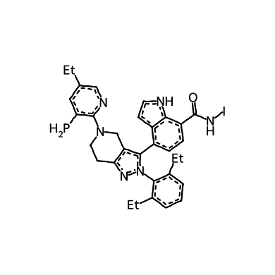 CCc1cnc(N2CCc3nn(-c4c(CC)cccc4CC)c(-c4ccc(C(=O)NI)c5[nH]ccc45)c3C2)c(P)c1